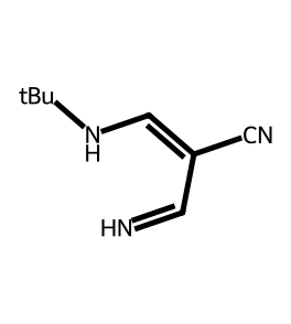 CC(C)(C)N/C=C(/C#N)C=N